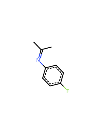 CC(C)=Nc1ccc(F)cc1